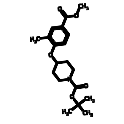 COC(=O)c1ccc(OC2CCN(C(=O)OC(C)(C)C)CC2)c(C)c1